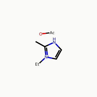 CC(=O)[O-].CC[n+]1cc[nH]c1C